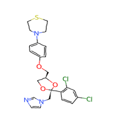 Clc1ccc([C@]2(Cn3ccnc3)OC[C@@H](COc3ccc(N4CCSCC4)cc3)O2)c(Cl)c1